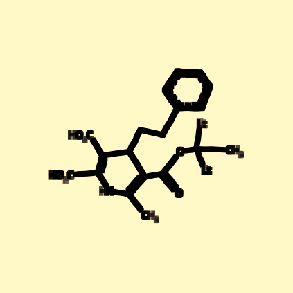 CCC(C)(CC)OC(=O)C1=C(C)NC(C(=O)O)=C(C(=O)O)C1CCc1ccccc1